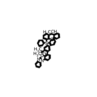 CC(C)(C)c1cc([Si](c2ccccc2)(c2ccccc2)c2cccc3c2Sc2ccccc2C3(C)C)ccc1-c1cccc2c1oc1nc3ccccc3n12